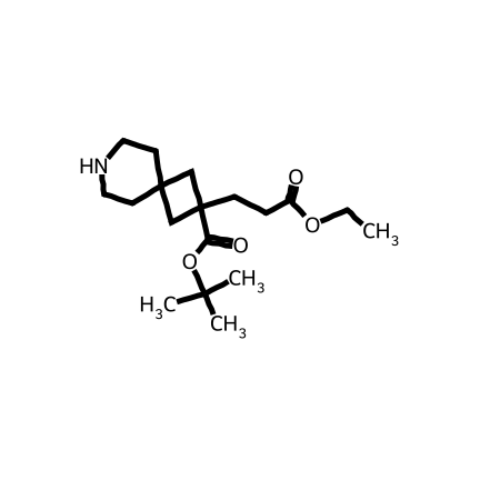 CCOC(=O)CCC1(C(=O)OC(C)(C)C)CC2(CCNCC2)C1